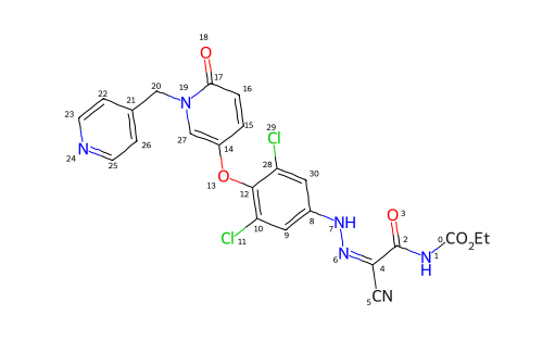 CCOC(=O)NC(=O)C(C#N)=NNc1cc(Cl)c(Oc2ccc(=O)n(Cc3ccncc3)c2)c(Cl)c1